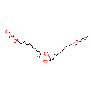 COCCOCOCCCCCCCCCC(=O)OC(=O)CCCCCCCCCOCOCCOC